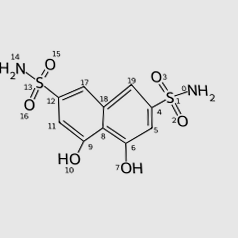 NS(=O)(=O)c1cc(O)c2c(O)cc(S(N)(=O)=O)cc2c1